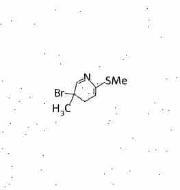 CSC1=CCC(C)(Br)C=N1